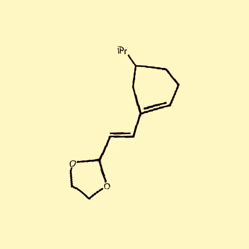 CC(C)C1CCC=C(C=CC2OCCO2)C1